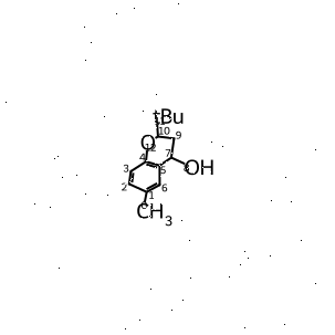 Cc1ccc2c(c1)C(O)CC(C(C)(C)C)O2